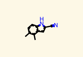 Cc1ccc2[nH]c(C#N)cc2c1C